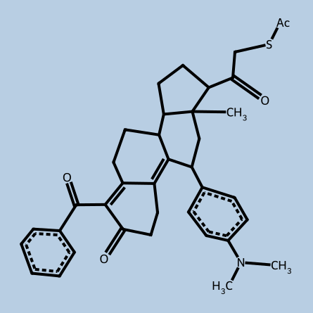 CC(=O)SCC(=O)C1CCC2C3CCC4=C(C(=O)c5ccccc5)C(=O)CCC4=C3C(c3ccc(N(C)C)cc3)CC12C